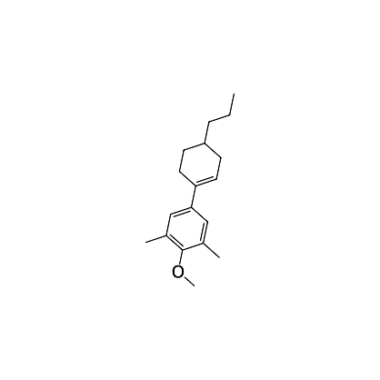 CCCC1CC=C(c2cc(C)c(OC)c(C)c2)CC1